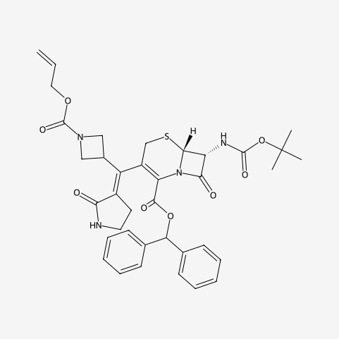 C=CCOC(=O)N1CC(C(=C2CCNC2=O)C2=C(C(=O)OC(c3ccccc3)c3ccccc3)N3C(=O)[C@@H](NC(=O)OC(C)(C)C)[C@H]3SC2)C1